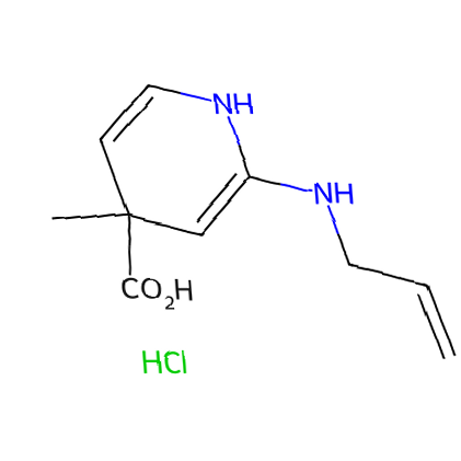 C=CCNC1=CC(C)(C(=O)O)C=CN1.Cl